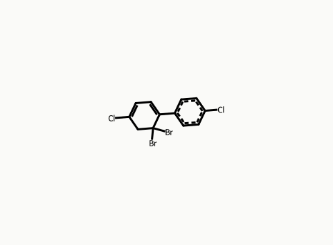 ClC1=CC=C(c2ccc(Cl)cc2)C(Br)(Br)C1